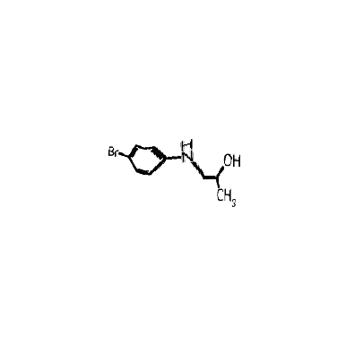 CC(O)CNc1ccc(Br)cc1